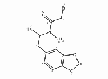 CC(Cc1ccc2c(c1)OCO2)N(C)C(=O)CBr